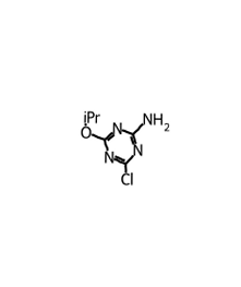 CC(C)Oc1nc(N)nc(Cl)n1